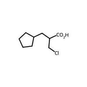 O=C(O)C(CCl)CC1CCCC1